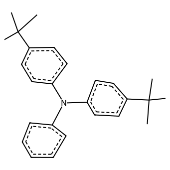 CC(C)(C)c1ccc(N(c2ccccc2)c2ccc(C(C)(C)C)cc2)cc1